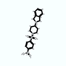 O=[N+]([O-])c1ccc(S(=O)(=O)N2CCC(N3Cc4ccccc4C3)CC2)cc1